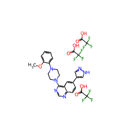 COc1ccccc1N1CCN(c2ncnc3ccc(-c4cn[nH]c4)cc23)CC1.O=C(O)C(F)(F)F.O=C(O)C(F)(F)F.O=C(O)C(F)(F)F